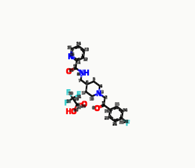 O=C(CN1CCC(CNC(=O)c2ccccn2)CC1)c1ccc(F)cc1.O=C(O)C(F)(F)F